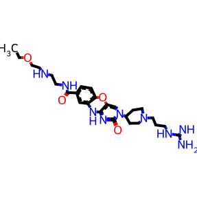 CCOCCNCCNC(=O)c1ccc2c(c1)Nc1nc(=O)n(C3CCN(CCCNC(=N)N)CC3)cc1O2